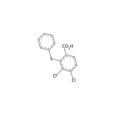 O=C(O)c1ccc(Cl)c(Cl)c1Sc1ccccc1